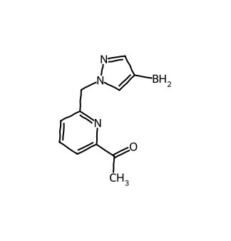 Bc1cnn(Cc2cccc(C(C)=O)n2)c1